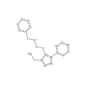 OCc1nnc(-c2ccncn2)n1CCOCc1ccccc1